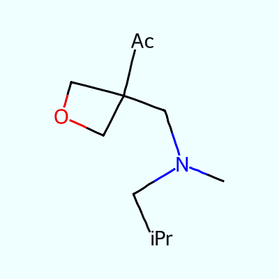 CC(=O)C1(CN(C)CC(C)C)COC1